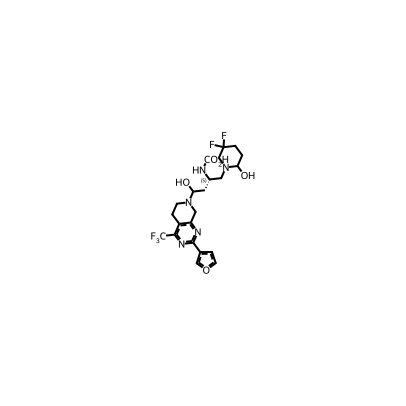 O=C(O)N[C@@H](CC(O)N1CCc2c(nc(-c3ccoc3)nc2C(F)(F)F)C1)CN1CC(F)(F)CCC1O